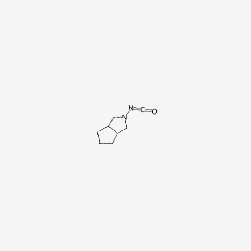 O=C=NN1CC2CCCC2C1